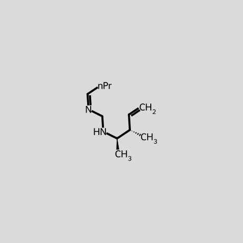 C=C[C@H](C)[C@@H](C)NC/N=C\CCC